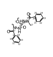 COP(=O)(NN(C)C(=O)c1ccccc1)NN(C)C(=O)c1ccccc1